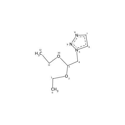 CCOC(Cn1ccnn1)OCC